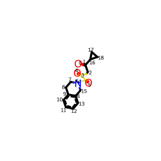 O=C(CS(=O)(=O)N1CCc2ccccc2C1)C1CC1